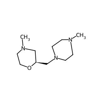 CN1CCN(C[C@@H]2CN(C)CCO2)CC1